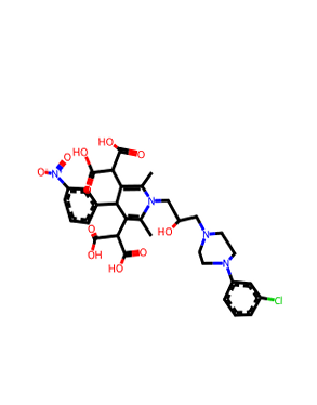 CC1=C(C(C(=O)O)C(=O)O)C(c2cccc([N+](=O)[O-])c2)C(C(C(=O)O)C(=O)O)=C(C)N1CC(O)CN1CCN(c2cccc(Cl)c2)CC1